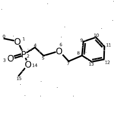 COP(=O)(CCOCc1ccccc1)OC